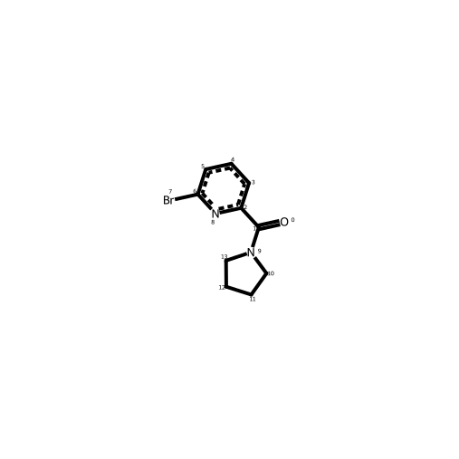 O=C(c1cccc(Br)n1)N1CCCC1